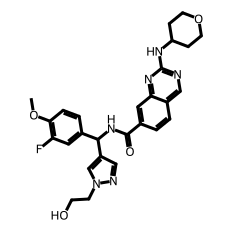 COc1ccc(C(NC(=O)c2ccc3cnc(NC4CCOCC4)nc3c2)c2cnn(CCO)c2)cc1F